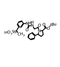 C[C@H](c1cccc(NC(=O)NCC(=O)N2C(C(=O)OC(C)(C)C)CCC2c2ccccc2)c1)S(=O)(=O)O